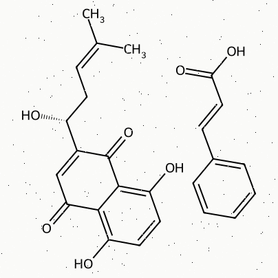 CC(C)=CC[C@@H](O)C1=CC(=O)c2c(O)ccc(O)c2C1=O.O=C(O)/C=C/c1ccccc1